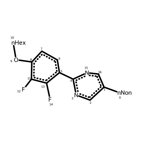 CCCCCCCCCc1cnc(-c2ccc(OCCCCCC)c(F)c2F)nc1